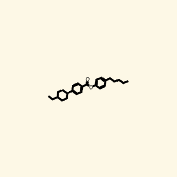 CCCCCc1ccc(OC(=O)c2ccc(C3CCC(CC)CC3)cc2)cc1